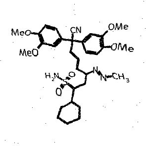 CN=NC(CCCC(C#N)(c1ccc(OC)c(OC)c1)c1ccc(OC)c(OC)c1)CC(C1CCCCC1)S(N)(=O)=O